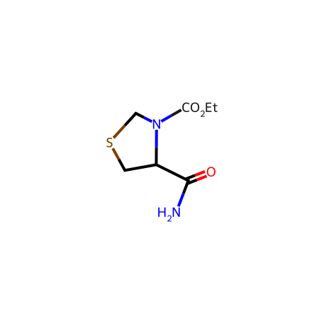 CCOC(=O)N1CSCC1C(N)=O